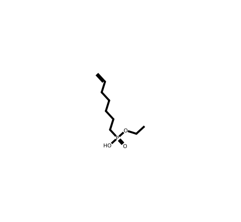 C=CCCCCCP(=O)(O)OCC